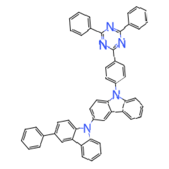 c1ccc(-c2ccc3c(c2)c2ccccc2n3-c2ccc3c(c2)c2ccccc2n3-c2ccc(-c3nc(-c4ccccc4)nc(-c4ccccc4)n3)cc2)cc1